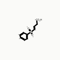 O=C(O)C/C=C/S(=O)(=O)c1ccccc1